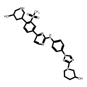 CS(=O)(=O)c1cc(-c2ccnc(Nc3ccc(-n4cnc(N5CCCC(O)C5)n4)cc3)n2)ccc1C1CNCC(O)C1